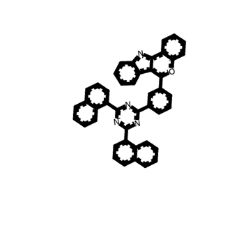 c1cc(-c2nc(-c3cccc4ccccc34)nc(-c3cccc4ccccc34)n2)cc(-c2oc3ccccc3c3nc4ccccc4c2-3)c1